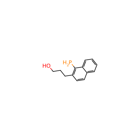 OCCCc1ccc2ccccc2c1P